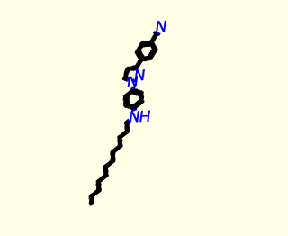 CCCCCCCCCCCCNc1ccc(N2CCC(c3ccc(C#N)cc3)=N2)cc1